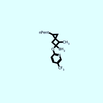 BC1(Oc2ccc(C(F)(F)F)cn2)CC2(CC2CCCCC)C1C